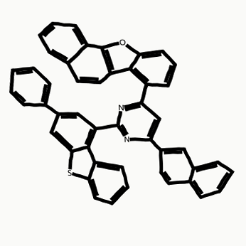 c1ccc(-c2cc(-c3nc(-c4ccc5ccccc5c4)cc(-c4cccc5oc6c7ccccc7ccc6c45)n3)c3c(c2)sc2ccccc23)cc1